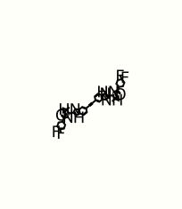 CC1([C@H](NC(=O)C2CCC(F)(F)CC2)c2cc3ccc(C#Cc4ccc5nc([C@@H](NC(=O)C6CCC(F)(F)CC6)C6(C)CC6)[nH]c5c4)cc3[nH]2)CC1